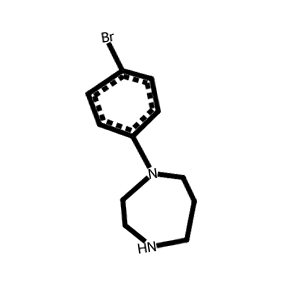 Brc1ccc(N2CCCNCC2)cc1